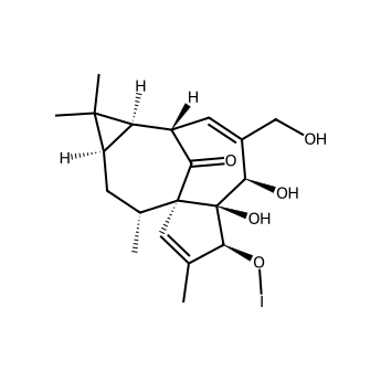 CC1=C[C@]23C(=O)[C@@H](C=C(CO)[C@@H](O)[C@]2(O)[C@H]1OI)[C@H]1[C@@H](C[C@H]3C)C1(C)C